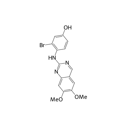 COc1cc2cnc(Nc3ccc(O)cc3Br)nc2cc1OC